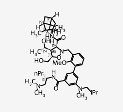 CCC[C@@H](CN(C)C)NC(=O)c1cc(-c2cccc(CN3O[C@@H](CO)[C@@H]([C@H](C)O)[C@H]3C(=O)N[C@H]3C[C@H]4C[C@@H]([C@@H]3C)C4(C)C)c2OC)cc(N(C)CC(C)C)c1